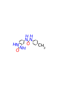 Cc1ccc(NC(=O)Nc2ccc3[nH]c(=O)[nH]c3c2)cc1